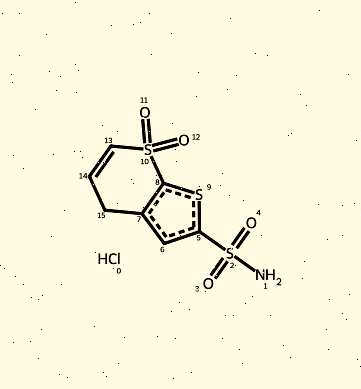 Cl.NS(=O)(=O)c1cc2c(s1)S(=O)(=O)C=CC2